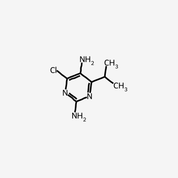 CC(C)c1nc(N)nc(Cl)c1N